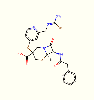 NC(S)=NCc1cc(SC2(C(=O)O)CS[C@@H]3[C@H](NC(=O)Cc4ccccc4)C(=O)N3C2)ccn1